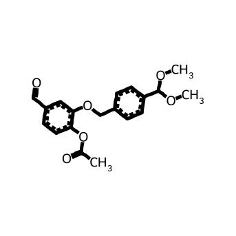 COC(OC)c1ccc(COc2cc(C=O)ccc2OC(C)=O)cc1